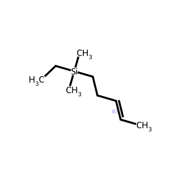 C/C=C/CC[Si](C)(C)CC